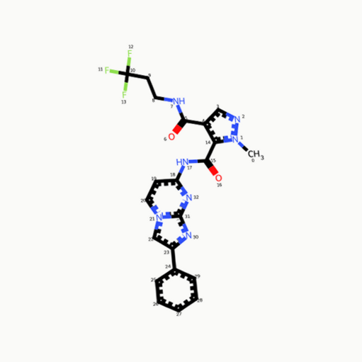 Cn1ncc(C(=O)NCCC(F)(F)F)c1C(=O)Nc1ccn2cc(-c3ccccc3)nc2n1